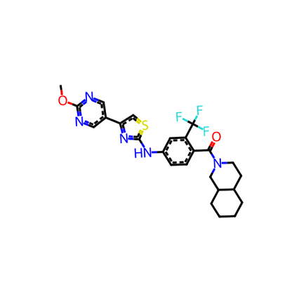 COc1ncc(-c2csc(Nc3ccc(C(=O)N4CCC5CCCCC5C4)c(C(F)(F)F)c3)n2)cn1